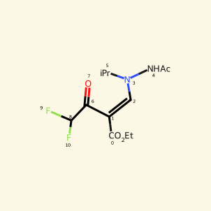 CCOC(=O)/C(=C/N(NC(C)=O)C(C)C)C(=O)C(F)F